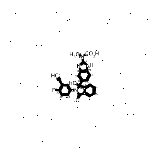 C#Cc1cc(N2C(=O)c3ccccc3C2(O)c2ccc3[nH]c(N(C)C(=O)O)nc3c2)ccc1F